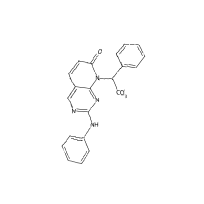 O=c1ccc2cnc(Nc3ccccc3)nc2n1C(c1ccccc1)C(Cl)(Cl)Cl